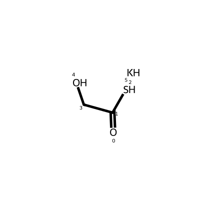 O=C(S)CO.[KH]